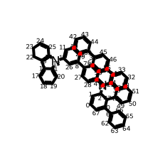 C1=CC(N(c2ccc(-c3cccc(-n4c5c(c6ccccc64)CCC=C5)c3)cc2)c2ccccc2-c2ccc(-c3ccccc3)cc2)C(c2ccccc2-c2ccccc2)C(c2ccccc2)=C1